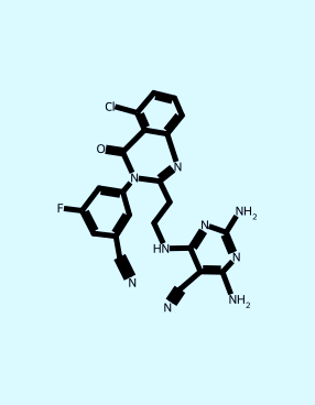 N#Cc1cc(F)cc(-n2c(CCNc3nc(N)nc(N)c3C#N)nc3cccc(Cl)c3c2=O)c1